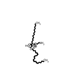 CCCCC/C=C\C/C=C\C/C=C\C/C=C\CCCC(=O)O[C@@H](CO)C(OP(=O)(O)OCCN)C(=O)CCCCCCCCCCCCCCC